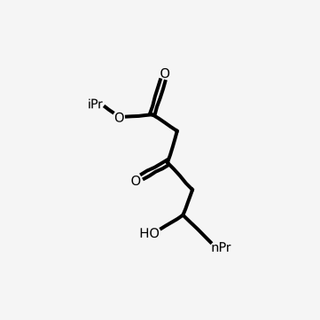 CCCC(O)CC(=O)CC(=O)OC(C)C